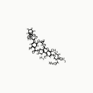 COC[C@H]1CN(c2cc(C)c3c4c(c(=O)oc3c2C)CN(C(=O)c2cc(OC3CC3)c(C(=O)NS(=O)(=O)N3C5CCC3CC5)cc2F)CC4)CCN1C